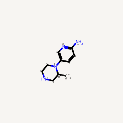 Nc1ccc(N2CCNCC2C(F)(F)F)cn1